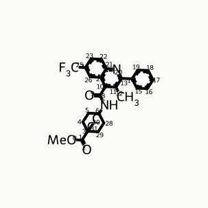 COC(=O)C12CCC(NC(=O)c3c(C)c(-c4ccccc4)nc4ccc(C(F)(F)F)cc34)(CC1)CC2